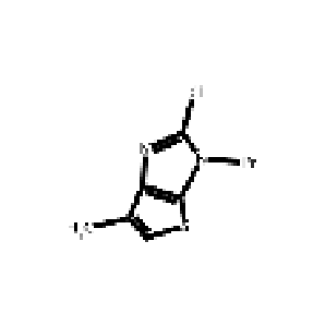 Cc1csc2c1nc(Cl)n2C(C)C